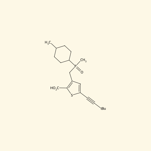 CC1CCC(P(C)(=O)Cc2cc(C#CC(C)(C)C)sc2C(=O)O)CC1